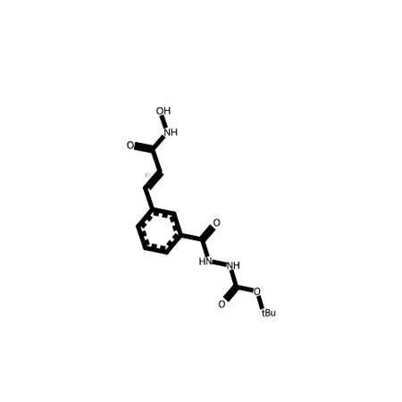 CC(C)(C)OC(=O)NNC(=O)c1cccc(/C=C/C(=O)NO)c1